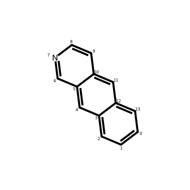 c1ccc2cc3cnccc3cc2c1